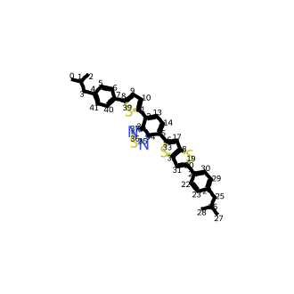 CC(C)Cc1ccc(-c2ccc(-c3ccc(-c4cc5sc(-c6ccc(CC(C)C)cc6)cc5s4)c4nsnc34)s2)cc1